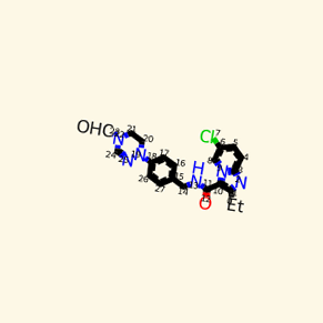 CCc1nc2ccc(Cl)cn2c1C(=O)NCc1ccc(N2CCN(C=O)C=N2)cc1